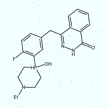 CCN1CC[PH](O)(c2cc(Cc3n[nH]c(=O)c4ccccc34)ccc2F)CC1